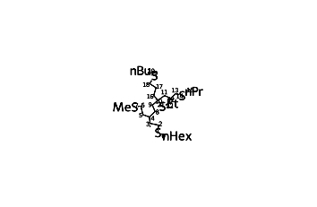 CCCCCCSC[CH]C(CCSC)CCC(CCCSCCC)(CCCSCCCC)SCC